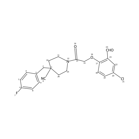 N#CC1(Cc2ccc(F)cc2)CCN(C(=O)COc2ccc(Cl)cc2C=O)CC1